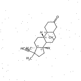 C#CC1(C)CC[C@H]2C3CCC4CC(=O)CC[C@]4(C)[C@H]3CC[C@@]21C